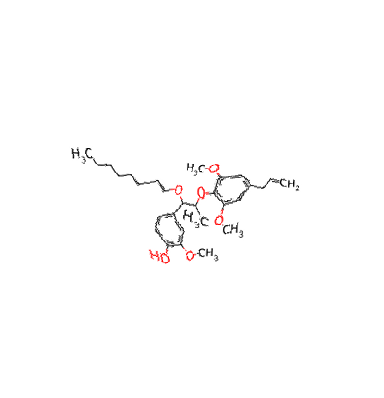 C=CCc1cc(OC)c(OC(C)C(OCCCCCCCC)c2ccc(O)c(OC)c2)c(OC)c1